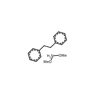 CO[SiH2]OC.c1ccc(CCc2ccccc2)cc1